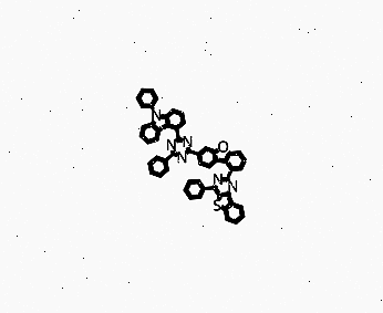 c1ccc(-c2nc(-c3ccc4c(c3)oc3cccc(-c5nc(-c6ccccc6)c6sc7ccccc7c6n5)c34)nc(-c3cccc4c3c3ccccc3n4-c3ccccc3)n2)cc1